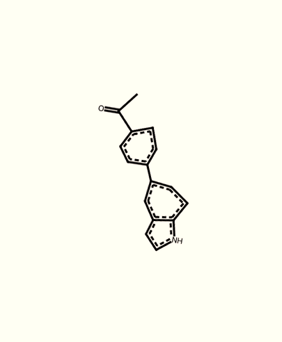 CC(=O)c1ccc(-c2ccc3[nH]ccc3c2)cc1